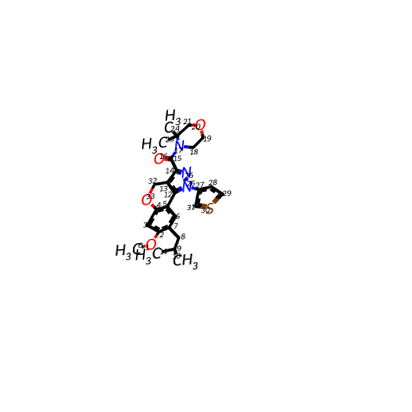 COc1cc2c(cc1CC(C)C)-c1c(c(C(=O)N3CCOCC3(C)C)nn1-c1ccsc1)CO2